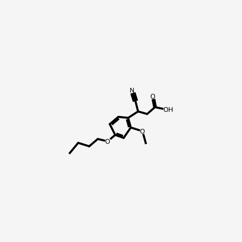 CCCCOc1ccc(C(C#N)CC(=O)O)c(OC)c1